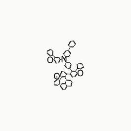 c1ccc(-c2ccc(N(c3ccc(-c4c(-c5ccc6oc7ccccc7c6c5-c5cccc6ccccc56)ccc5oc6ccccc6c45)cc3)c3ccc4oc5ccccc5c4c3)cc2)cc1